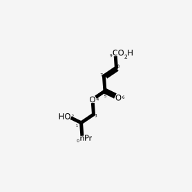 CCCC(O)COC(=O)C=CC(=O)O